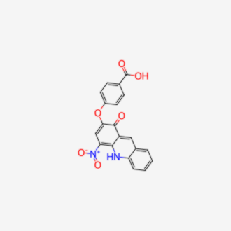 O=C(O)c1ccc(Oc2cc([N+](=O)[O-])c3[nH]c4ccccc4cc-3c2=O)cc1